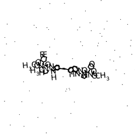 COC(=O)N[C@H](C(=O)N1CCC[C@H]1c1nc2ccc3cc(C#Cc4ccc5nc([C@@H]6CC[C@H](C)N6C(=O)[C@@H](NC(=O)OC)C6CCC(F)(F)CC6)[nH]c5c4)ccc3c2[nH]1)C1CCOCC1